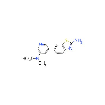 CN(C(=O)O)c1cncc(-c2ccc3nc(N)sc3c2)c1